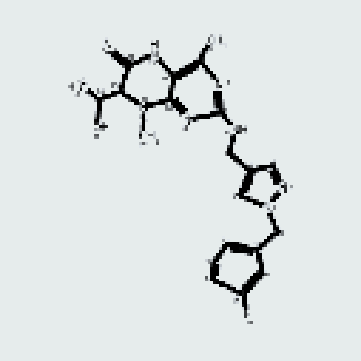 Cc1nc(NCc2cnn(Cc3cccc(F)c3)c2)nc2c1NC(=O)C(C(C)O)N2C